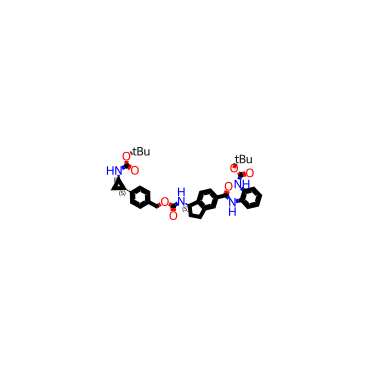 CC(C)(C)OC(=O)Nc1ccccc1NC(=O)c1ccc2c(c1)CC[C@@H]2NC(=O)OCc1ccc([C@@H]2C[C@H]2NC(=O)OC(C)(C)C)cc1